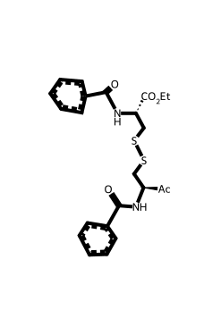 CCOC(=O)[C@H](CSSC[C@H](NC(=O)c1ccccc1)C(C)=O)NC(=O)c1ccccc1